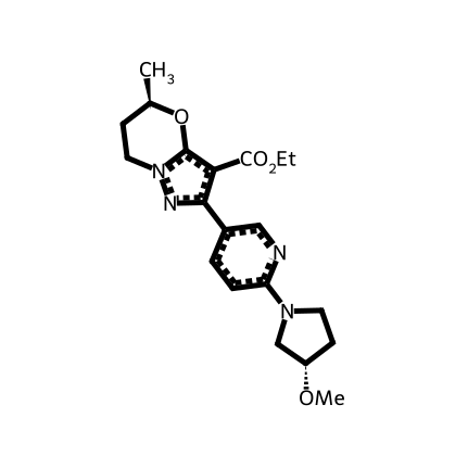 CCOC(=O)c1c(-c2ccc(N3CC[C@H](OC)C3)nc2)nn2c1O[C@H](C)CC2